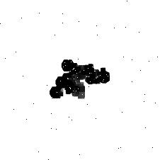 Cc1cccc(CN2CCN([C@H](C(=O)N[C@@H](Cc3ccccc3)[C@@H](O)C[C@H](Cc3ccc(-c4ccccn4)cc3)NC(=O)[C@@H](NC(=O)O)C(C)(C)C)C(C)(C)C)C2=O)n1